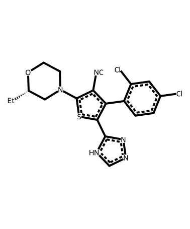 [C-]#[N+]c1c(N2CCO[C@@H](CC)C2)sc(-c2nnc[nH]2)c1-c1ccc(Cl)cc1Cl